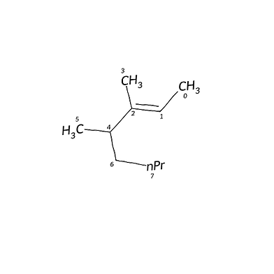 CC=C(C)C(C)CCCC